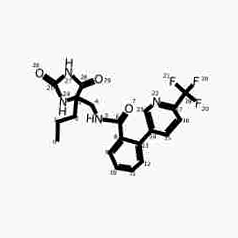 CCCC1(CNC(=O)c2ccccc2-c2ccc(C(F)(F)F)nc2)NC(=O)NC1=O